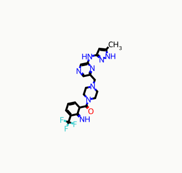 Cc1cc(Nc2cncc(CN3CCN(C(=O)C4C=CC=C(C(F)(F)F)C4=N)CC3)n2)n[nH]1